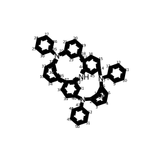 Clc1c2cccc1N(c1ccccc1)c1ccc3c4cccc(c4)n(-c4ccccc4)c4cccc(c4)c4ccc(cc4[nH]c3c1)N2c1ccccc1